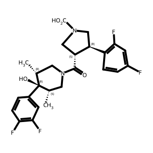 C[C@@H]1CN(C(=O)[C@@H]2CN(C(=O)O)C[C@H]2c2ccc(F)cc2F)C[C@H](C)[C@]1(O)c1ccc(F)c(F)c1